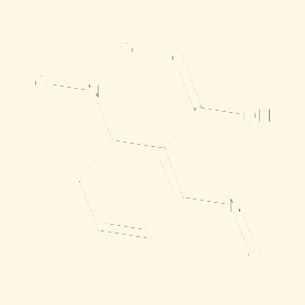 O=Nc1cccc([N+](=O)[O-])c1C(=O)O